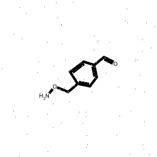 NOCc1ccc(C=O)cc1